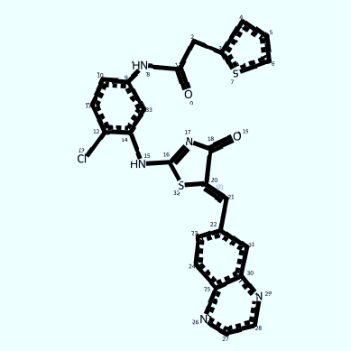 O=C(Cc1cccs1)Nc1ccc(Cl)c(NC2=NC(=O)/C(=C/c3ccc4nccnc4c3)S2)c1